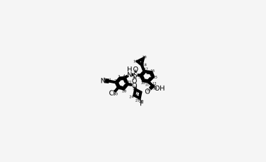 N#Cc1cc(NS(=O)(=O)c2cc(C(=O)O)ccc2C2CC2)c(O[C@H]2C[C@@H](F)C2)cc1Cl